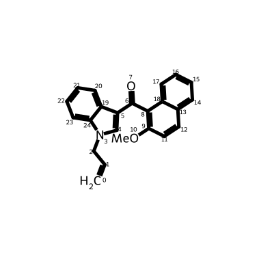 C=CCn1cc(C(=O)c2c(OC)ccc3ccccc23)c2ccccc21